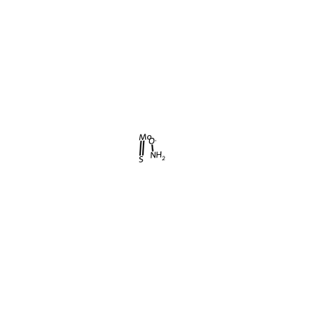 N[O].[S]=[Mo]